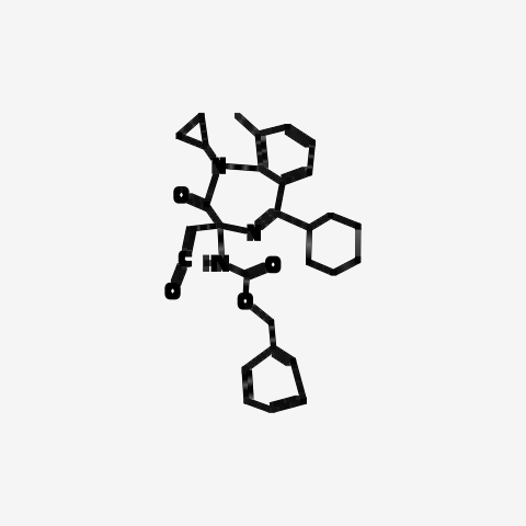 Cc1cccc2c1N(C1CC1)C(=O)C(C=C=O)(NC(=O)OCc1ccccc1)N=C2C1CCCCC1